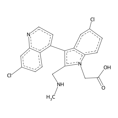 CNCc1c(-c2ccnc3cc(Cl)ccc23)c2cc(Cl)ccc2n1CC(=O)O